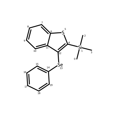 C[Si](C)(C)c1sc2ccccc2c1[Se]c1ccccc1